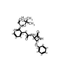 CC(C)(C)ON(C=O)c1ncccc1CC(=O)N[C@]1(C)C(=O)N[C@@H]1Oc1ccccc1